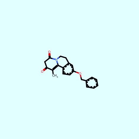 CC1=C2c3ccc(OCc4ccccc4)cc3CCN2C(=O)CC1=O